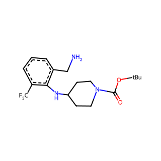 CC(C)(C)OC(=O)N1CCC(Nc2c(CN)cccc2C(F)(F)F)CC1